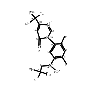 Cc1cc(C)c([S+]([O-])CC(F)(F)F)cc1-n1cnc(C(F)(F)F)cc1=O